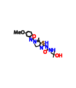 COc1ccc2oc(N3CCc4nc(NC(=O)NCC(C)(C)O)sc4[C@@H]3C)nc2c1